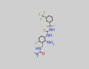 [CH2]C(C)(NC(=S)Nc1ccc(F)c(CNC(=O)N(C)C)c1N)c1cccc(C(F)(F)F)c1